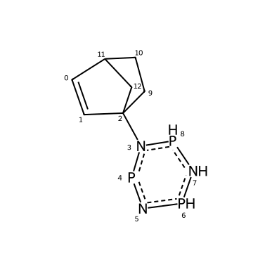 C1=CC2(n3pn[pH][nH][pH]3)CCC1C2